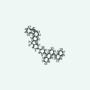 CC1(C)c2ccc(-c3ccc(-c4c5ccccc5cc5c(-c6cccc7ccccc67)cccc45)cc3)cc2-c2cc3ccc4sc5ccccc5c4c3cc21